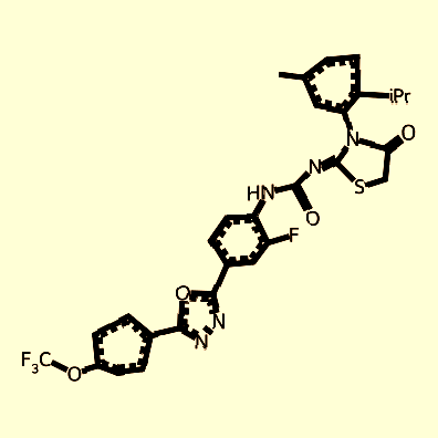 Cc1ccc(C(C)C)c(N2C(=O)CS/C2=N\C(=O)Nc2ccc(-c3nnc(-c4ccc(OC(F)(F)F)cc4)o3)cc2F)c1